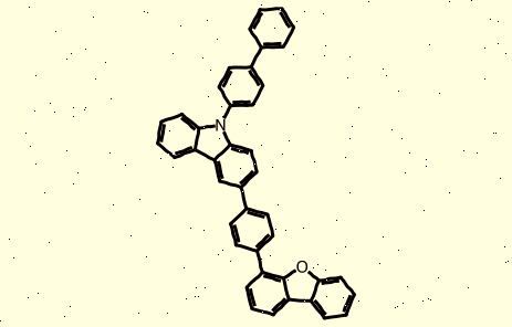 c1ccc(-c2ccc(-n3c4ccccc4c4cc(-c5ccc(-c6cccc7c6oc6ccccc67)cc5)ccc43)cc2)cc1